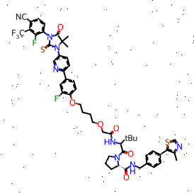 Cc1ncsc1-c1ccc(CNC(=O)[C@@H]2CCCN2C(=O)C(NC(=O)COCCCCOc2ccc(-c3ccc(N4C(=S)N(c5ccc(C#N)c(C(F)(F)F)c5F)C(=O)C4(C)C)cn3)cc2F)C(C)(C)C)cc1